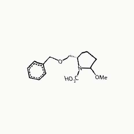 COC1CC[C@@H](COCc2ccccc2)N1C(=O)O